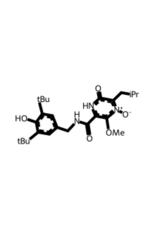 COc1c(C(=O)NCc2cc(C(C)(C)C)c(O)c(C(C)(C)C)c2)[nH]c(=O)c(CC(C)C)[n+]1[O-]